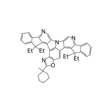 CCC1(CC)c2ccccc2-c2ncc3c(c21)c1cc2oc(C4(C)CCCCC4)nc2c2c4c5c(ncc4n3c12)-c1ccccc1C5(CC)CC